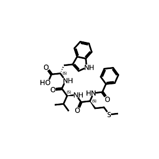 CSCC[C@H](NC(=O)c1ccccc1)C(=O)N[C@H](C(=O)N[C@@H](Cc1c[nH]c2ccccc12)C(=O)O)C(C)C